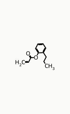 C=CC(=O)Oc1ccccc1CCC